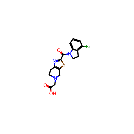 O=C(O)CN1CCc2nc(C(=O)N3CCc4c(Br)cccc43)sc2C1